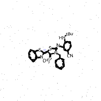 CN1/C(=C2/SC(=Nc3cc(C#N)ccc3NC(C)(C)C)N(Cc3ccccc3)C2=O)Sc2ccccc21